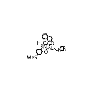 CSc1ccc(CN2C(=O)N(CCCn3ccnc3)C(=O)C2(C)c2cccc3ccccc23)cc1